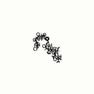 CC[C@H](C)[C@@H]([C@@H](CC(=O)N1CCC[C@H]1[C@H](OC)[C@@H](C)C(=O)NCCc1cccc(NC(=O)[C@H](C)NC(=O)[C@H](C)NC(=O)c2cnc(CCl)nc2)c1)OC)N(C)C(=O)[C@@H](NC(=O)[C@H](C(C)C)N(C)C)C(C)C